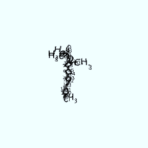 CCc1cc(-c2ccc(-c3ccc(CCC4CCC(C)CC4)cc3)cc2)ccc1OCCC(CC)(CC)CC